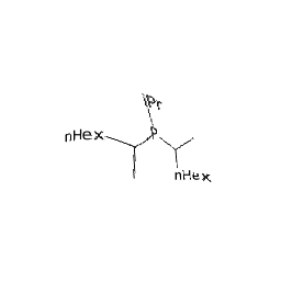 CCCCCCC(C)P(C(C)C)C(C)CCCCCC